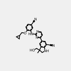 CC1(CO)CNc2c(C#N)cc(-c3ccnc(Nc4cc(C#N)ccc4OCC4CC4)n3)cc21